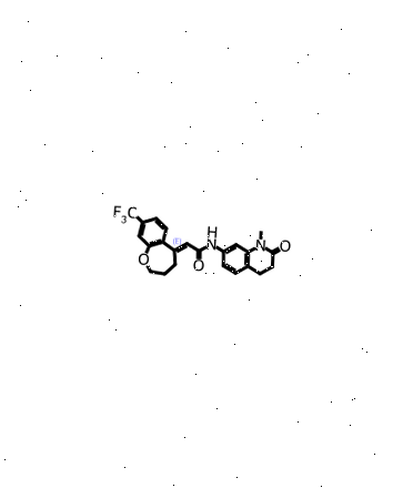 CN1C(=O)CCc2ccc(NC(=O)/C=C3\CCCOc4cc(C(F)(F)F)ccc43)cc21